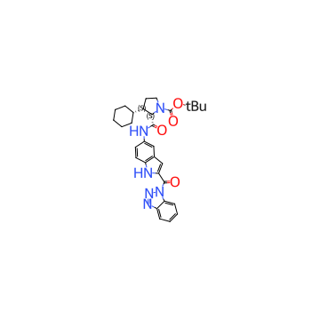 CC(C)(C)OC(=O)N1CC[C@@H](C2CCCCC2)[C@H]1C(=O)Nc1ccc2[nH]c(C(=O)n3nnc4ccccc43)cc2c1